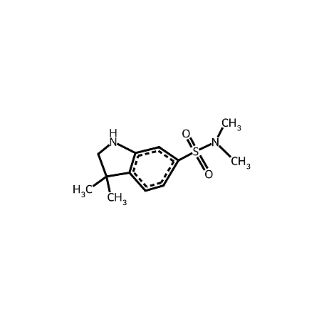 CN(C)S(=O)(=O)c1ccc2c(c1)NCC2(C)C